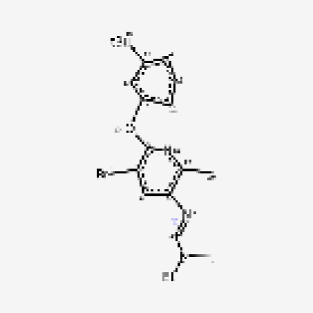 CCN(C)/C=N/c1cc(Br)c(Oc2cccc(C(C)(C)C)c2)nc1C